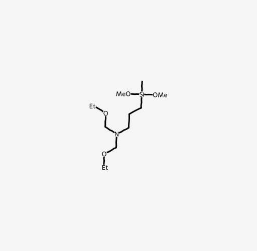 CCOCN(CCC[Si](C)(OC)OC)COCC